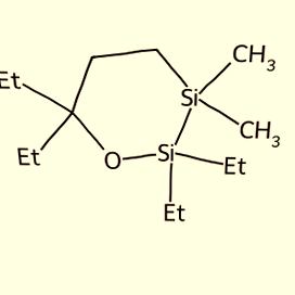 CCC1(CC)CC[Si](C)(C)[Si](CC)(CC)O1